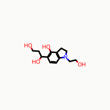 OCCC(O)c1ccc2c(c1O)CCN2CCO